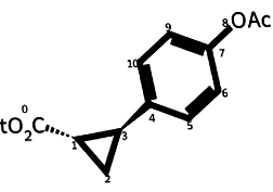 CCOC(=O)[C@H]1C[C@@H]1c1ccc(OC(C)=O)cc1